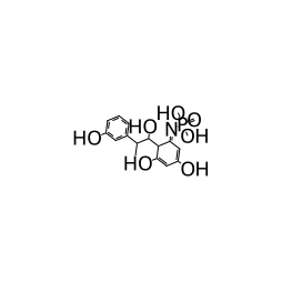 CC(c1cccc(O)c1)C(O)C1C(O)=CC(O)=CC1=NP(=O)(O)O